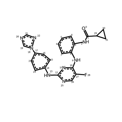 O=C(Nc1ccccc1Nc1nc(Nc2ccc(-n3cncn3)cc2)ncc1F)C1CC1